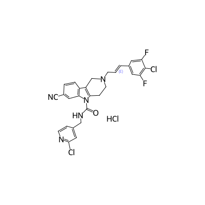 Cl.N#Cc1ccc2c3c(n(C(=O)NCc4ccnc(Cl)c4)c2c1)CCN(C/C=C/c1cc(F)c(Cl)c(F)c1)C3